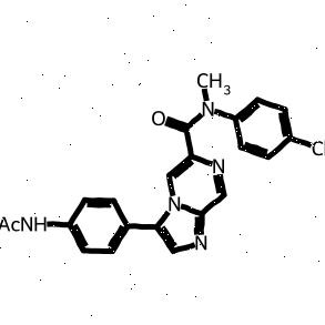 CC(=O)Nc1ccc(-c2cnc3cnc(C(=O)N(C)c4ccc(Cl)cc4)cn23)cc1